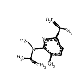 C=C(C)c1ccc(C)c(N(C)C(=C)C)n1